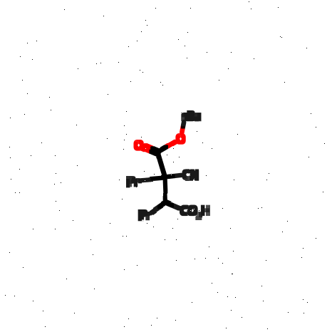 CCCCOC(=O)C(C#N)(C(C)C)C(C(=O)O)C(C)C